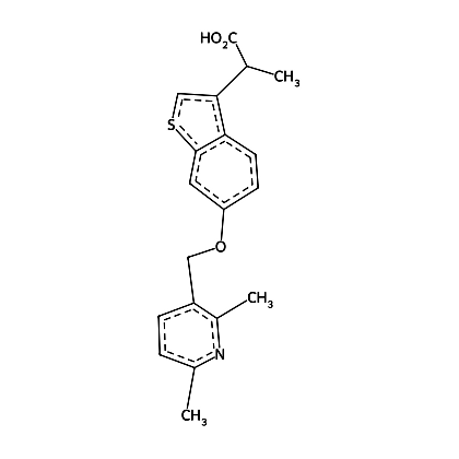 Cc1ccc(COc2ccc3c(C(C)C(=O)O)csc3c2)c(C)n1